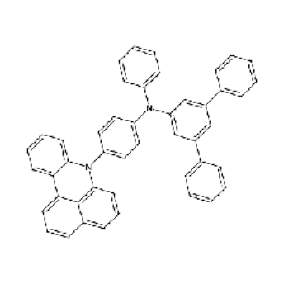 c1ccc(-c2cc(-c3ccccc3)cc(N(c3ccccc3)c3ccc(N4c5ccccc5-c5cccc6cccc4c56)cc3)c2)cc1